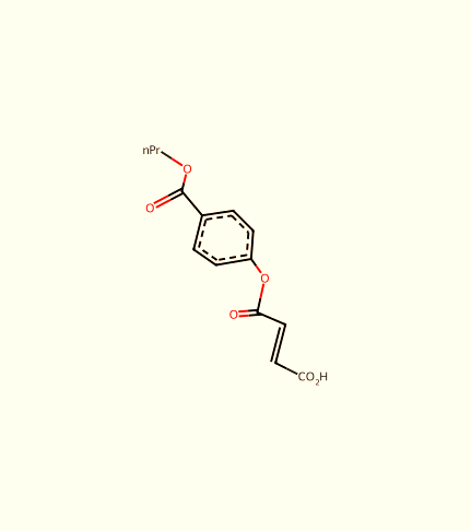 CCCOC(=O)c1ccc(OC(=O)/C=C/C(=O)O)cc1